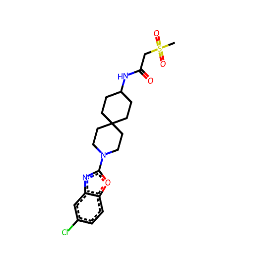 CS(=O)(=O)CC(=O)NC1CCC2(CC1)CCN(c1nc3cc(Cl)ccc3o1)CC2